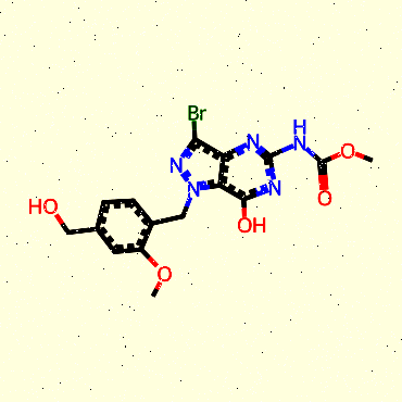 COC(=O)Nc1nc(O)c2c(n1)c(Br)nn2Cc1ccc(CO)cc1OC